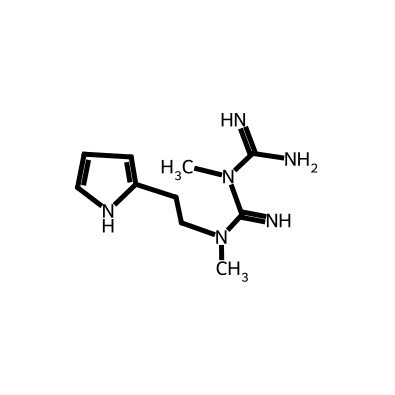 CN(CCc1ccc[nH]1)C(=N)N(C)C(=N)N